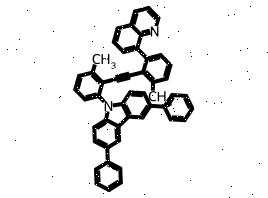 Cc1cccc(-c2cccc3cccnc23)c1C#Cc1c(C)cccc1-n1c2ccc(-c3ccccc3)cc2c2cc(-c3ccccc3)ccc21